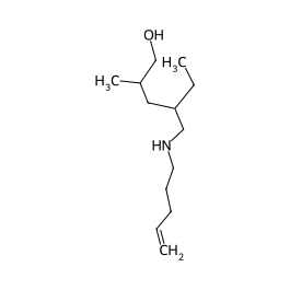 C=CCCCNCC(CC)CC(C)CO